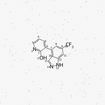 Oc1ncccc1-c1cc(C(F)(F)F)cc2[nH]ncc12